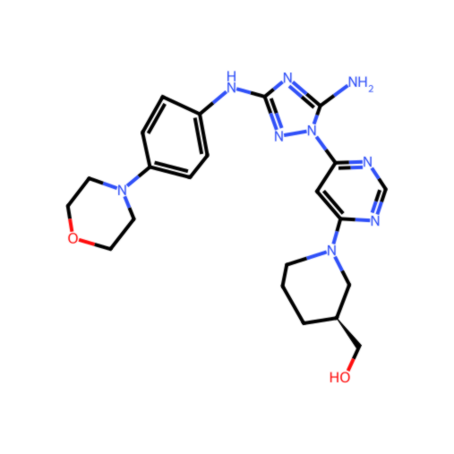 Nc1nc(Nc2ccc(N3CCOCC3)cc2)nn1-c1cc(N2CCC[C@H](CO)C2)ncn1